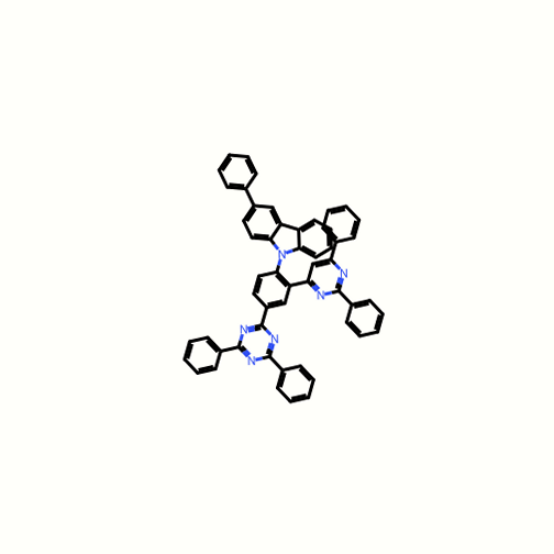 c1ccc(-c2ccc3c(c2)c2ccccc2n3-c2ccc(-c3nc(-c4ccccc4)nc(-c4ccccc4)n3)cc2-c2cc(-c3ccccc3)nc(-c3ccccc3)n2)cc1